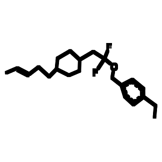 CC=CCCC1CCC(CC(F)(F)OCc2ccc(CC)cc2)CC1